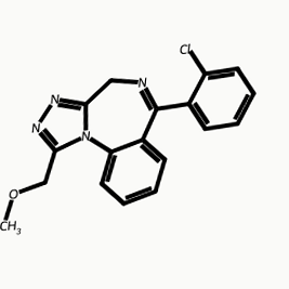 COCc1nnc2n1-c1ccccc1C(c1ccccc1Cl)=NC2